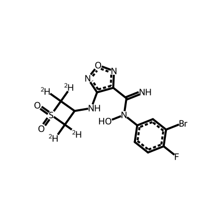 [2H]C1([2H])C(Nc2nonc2C(=N)N(O)c2ccc(F)c(Br)c2)C([2H])([2H])S1(=O)=O